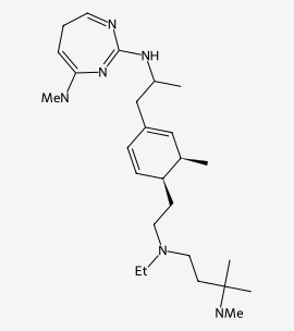 CCN(CC[C@H]1C=CC(CC(C)NC2=NC(NC)=CCC=N2)=C[C@H]1C)CCC(C)(C)NC